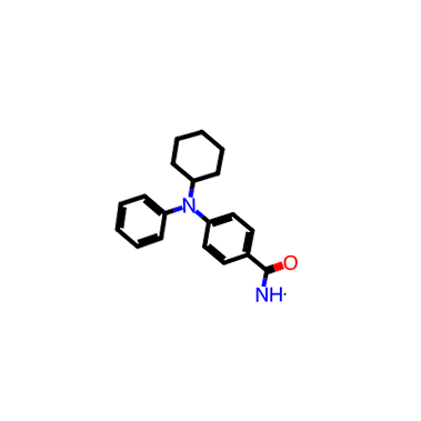 [NH]C(=O)c1ccc(N(c2ccccc2)C2CCCCC2)cc1